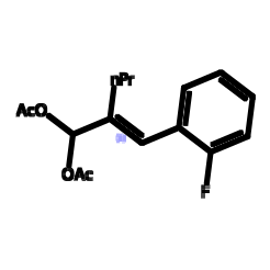 CCC/C(=C\c1ccccc1F)C(OC(C)=O)OC(C)=O